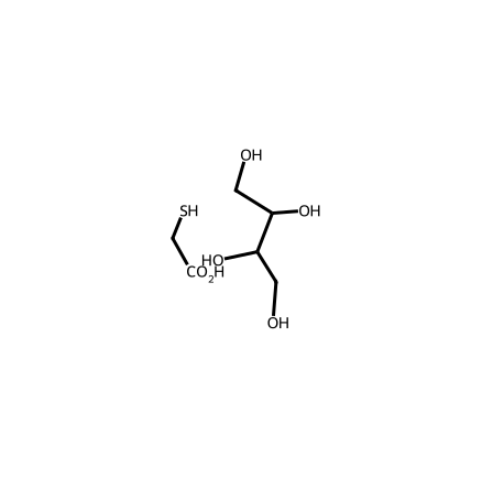 O=C(O)CS.OCC(O)C(O)CO